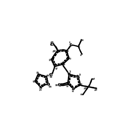 CC(C)Oc1cc(-n2nc(C(C)(C)C)oc2=O)c(Cl)cc1Cl.c1cnoc1